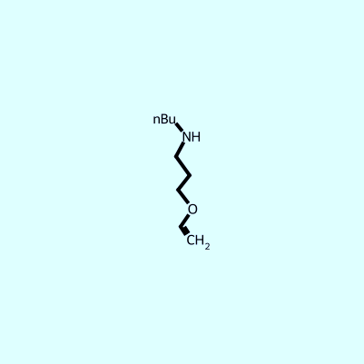 C=COCCCNCCCC